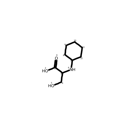 O=C(O)C(CO)NC1CCCCC1